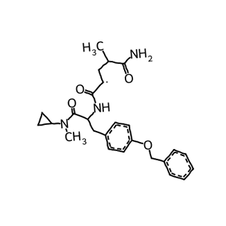 CC(C[CH]C(=O)NC(Cc1ccc(OCc2ccccc2)cc1)C(=O)N(C)C1CC1)C(N)=O